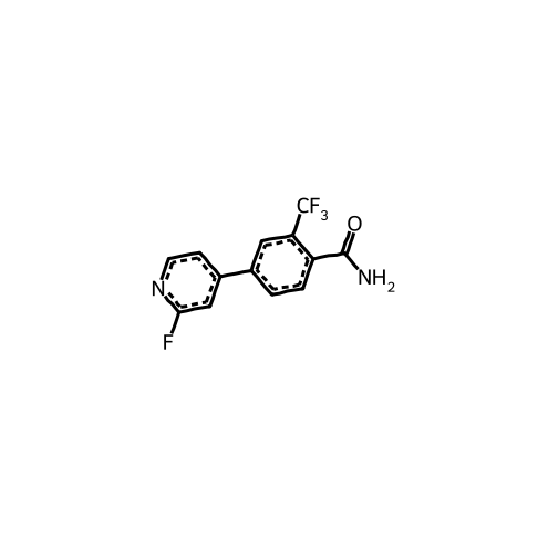 NC(=O)c1ccc(-c2ccnc(F)c2)cc1C(F)(F)F